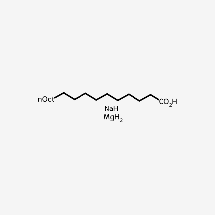 CCCCCCCCCCCCCCCCCC(=O)O.[MgH2].[NaH]